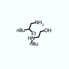 CCCCC(CC)CN.CCCCNCCO